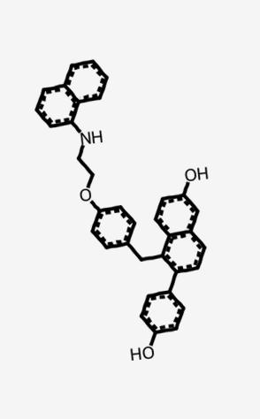 Oc1ccc(-c2ccc3cc(O)ccc3c2Cc2ccc(OCCNc3cccc4ccccc34)cc2)cc1